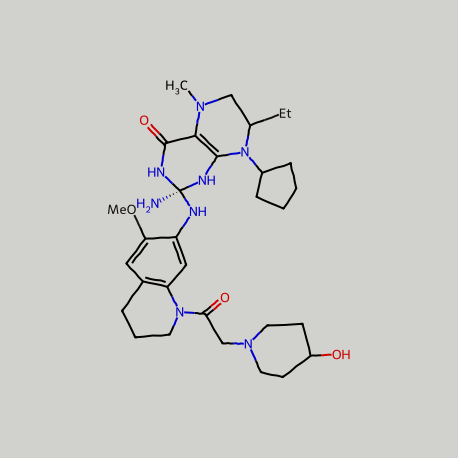 CCC1CN(C)C2=C(N[C@@](N)(Nc3cc4c(cc3OC)CCCN4C(=O)CN3CCC(O)CC3)NC2=O)N1C1CCCC1